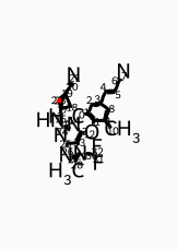 Cc1cc(/C=C/C#N)cc(C)c1Oc1nc(NC23CC(C#N)(C2)C3)nc2nc(C)n(C(F)F)c12